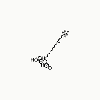 C[C@]12CCC(=O)C=C1C[C@@H](CCCCCCCCCCCSCCCC(F)(F)C(F)(F)F)[C@@H]1[C@@H]2CC[C@@]2(C)[C@H]1CC[C@]2(C)O